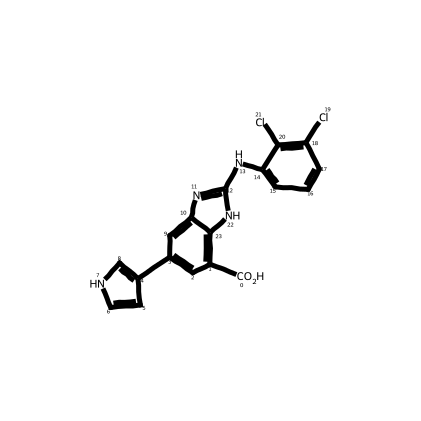 O=C(O)c1cc(-c2cc[nH]c2)cc2nc(Nc3cccc(Cl)c3Cl)[nH]c12